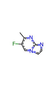 Cc1nc2nccn2cc1F